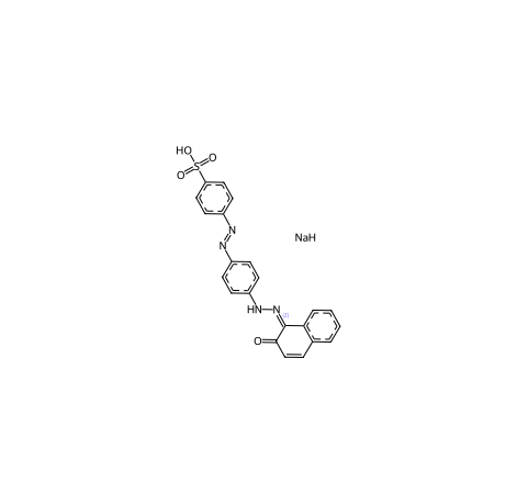 O=C1C=Cc2ccccc2/C1=N/Nc1ccc(N=Nc2ccc(S(=O)(=O)O)cc2)cc1.[NaH]